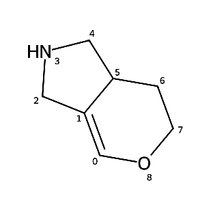 C1=C2CNCC2CCO1